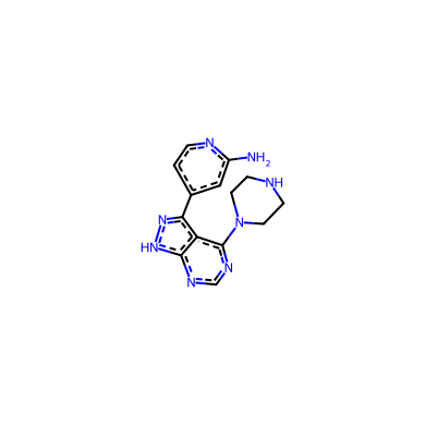 Nc1cc(-c2n[nH]c3ncnc(N4CCNCC4)c23)ccn1